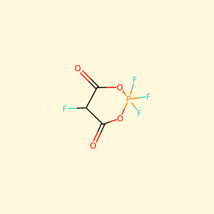 O=C1OP(F)(F)(F)OC(=O)C1F